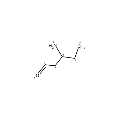 [CH2]CC(N)CC=O